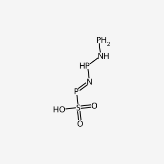 O=S(=O)(O)P=NPNP